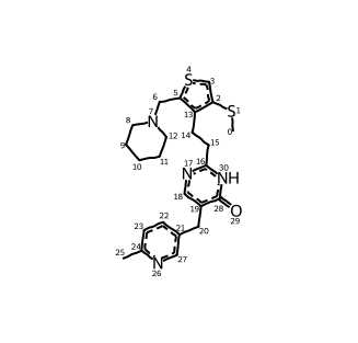 CSc1csc(CN2CCCCC2)c1CCc1ncc(Cc2ccc(C)nc2)c(=O)[nH]1